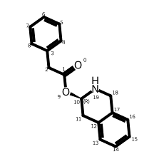 O=C(Cc1ccccc1)O[C@@H]1Cc2ccccc2CN1